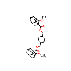 COC1C2CC3CC(C2)CC1(C(=O)OCC1CCC(COC(=O)C24CC5CC(CC(C5)C2OC)C4)CC1)C3